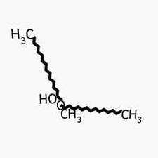 CCCCCCCCCCCCCCC(O)COC(C)CCCCCCCCCCCCCC